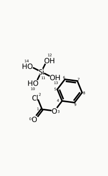 O=C(Cl)Oc1ccccc1.O[Si](O)(O)O